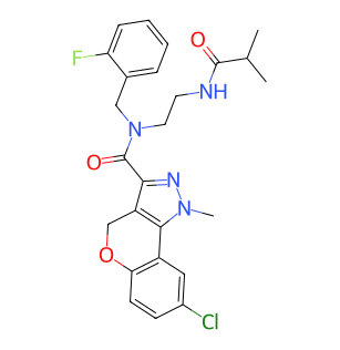 CC(C)C(=O)NCCN(Cc1ccccc1F)C(=O)c1nn(C)c2c1COc1ccc(Cl)cc1-2